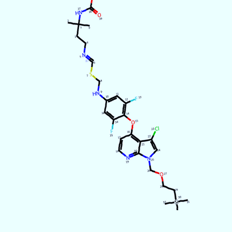 CC(C)(CC/N=C/SCNc1cc(F)c(Oc2ccnc3c2c(Cl)cn3COCC[Si](C)(C)C)c(F)c1)NC(=O)O